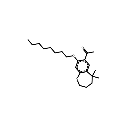 CCCCCCCCOc1cc2c(cc1C(C)=O)C(C)(C)CCCS2